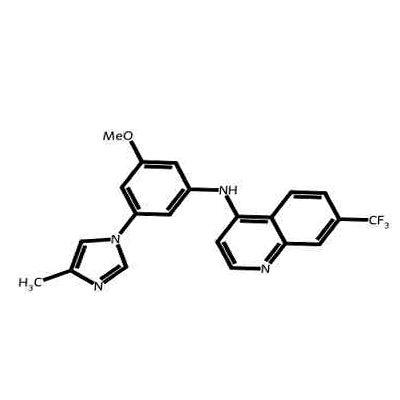 COc1cc(Nc2ccnc3cc(C(F)(F)F)ccc23)cc(-n2cnc(C)c2)c1